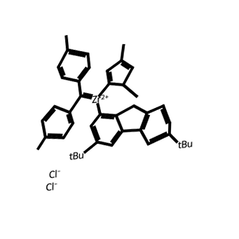 CC1=CC(C)[C]([Zr+2](=[C](c2ccc(C)cc2)c2ccc(C)cc2)[c]2cc(C(C)(C)C)cc3c2Cc2ccc(C(C)(C)C)cc2-3)=C1.[Cl-].[Cl-]